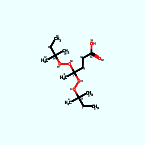 CCC(C)(C)OOC(C)(CCC(=O)O)OOC(C)(C)CC